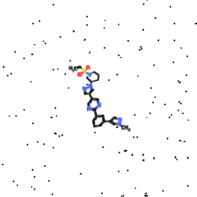 C=CS(=O)(=O)N1CCCC(n2cc(-c3cnc(-c4cccc(-c5cnn(C)c5)c4)nc3)cn2)C1